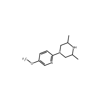 CC1CN(c2ccc(OC(F)(F)F)cn2)CC(C)N1